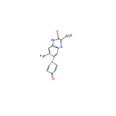 CCOC(=O)c1nc2cc(-n3ccc(=O)cc3)c(C(F)(F)F)cc2[nH]c1=O